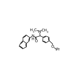 CC(C)OCc1ccc(C(C(=O)Nc2ccc3ccccc3c2)N(C)C)cc1